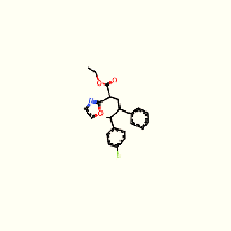 CCOC(=O)C(CC(c1ccccc1)C(C)c1ccc(F)cc1)c1ncco1